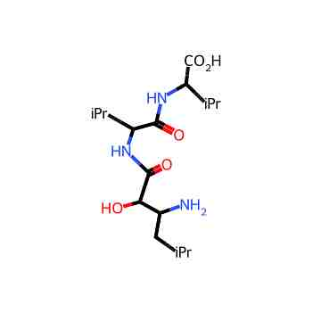 CC(C)CC(N)C(O)C(=O)NC(C(=O)NC(C(=O)O)C(C)C)C(C)C